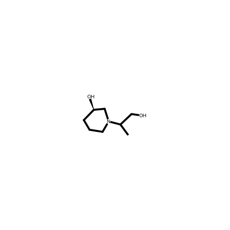 CC(CO)N1CCC[C@@H](O)C1